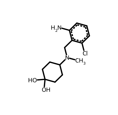 CN(Cc1c(N)cccc1Cl)C1CCC(O)(O)CC1